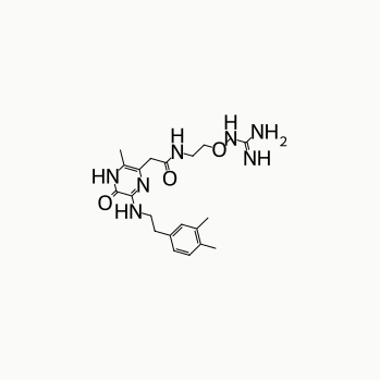 Cc1ccc(CCNc2nc(CC(=O)NCCONC(=N)N)c(C)[nH]c2=O)cc1C